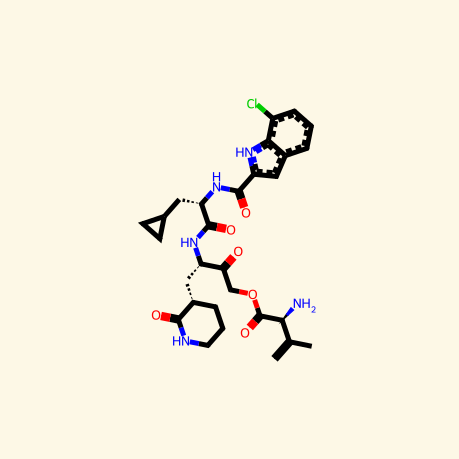 C=C(C)[C@H](N)C(=O)OCC(=O)[C@H](C[C@@H]1CCCNC1=O)NC(=O)[C@H](CC1CC1)NC(=O)c1cc2cccc(Cl)c2[nH]1